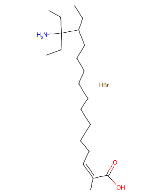 Br.CCC(CCCCCCCCCC=C(C)C(=O)O)C(N)(CC)CC